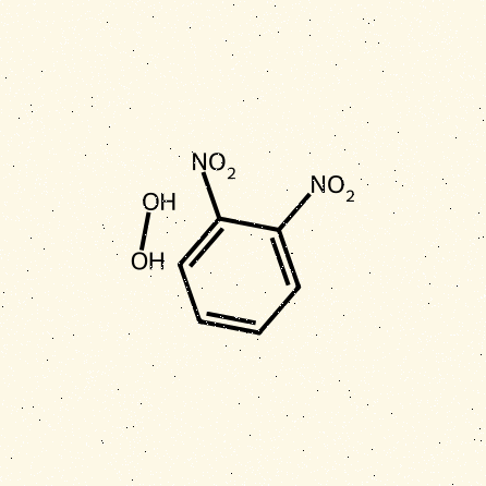 O=[N+]([O-])c1ccccc1[N+](=O)[O-].OO